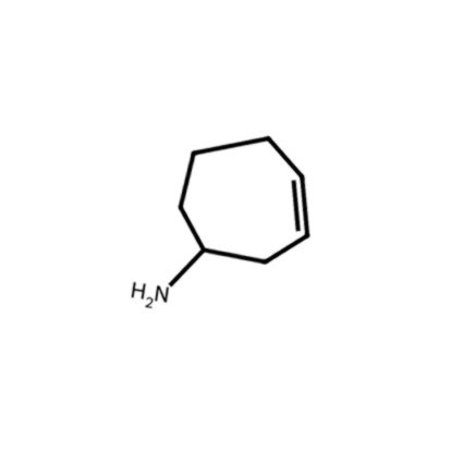 NC1CC=CCCC1